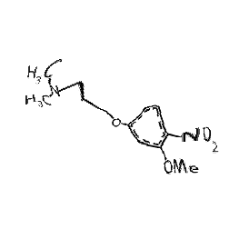 COc1cc(OCCCN(C)C)ccc1[N+](=O)[O-]